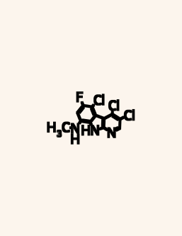 CNc1cc(F)c(Cl)c2c1[nH]c1ncc(Cl)c(Cl)c12